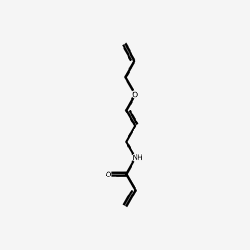 C=CCOC=CCNC(=O)C=C